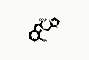 CC(C)c1cccc2cc(C(=O)O)n(Cc3nccs3)c12